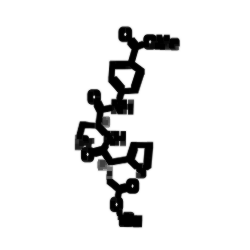 COC(=O)c1ccc(NC(=O)[C@H](CC(C)C)NC(=O)[C@@H](CC(=O)OC(C)(C)C)c2cccs2)cc1